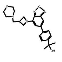 CC(C)(O)c1ccc(-c2cc(N3CC(CN4CCOCC4)C3)c3nonc3c2)cc1